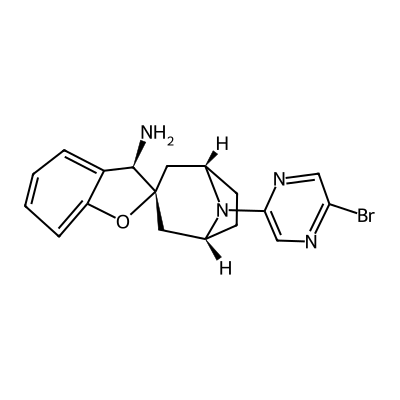 N[C@@H]1c2ccccc2O[C@]12C[C@H]1CC[C@@H](C2)N1c1cnc(Br)cn1